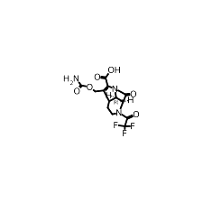 NC(=O)OCC1=C(C(=O)O)N2C(=O)[C@@H]3[C@H]2C1CCN3C(=O)C(F)(F)F